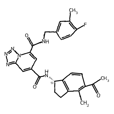 CC(=O)c1ccc2c(c1C)CC[C@@H]2NC(=O)c1cc(C(=O)NCc2ccc(F)c(C)c2)n2nnnc2c1